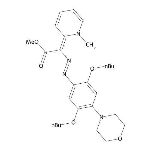 CCCCOc1cc(N2CCOCC2)c(OCCCC)cc1N=N/C(C(=O)OC)=C1/C=CC=CN1C